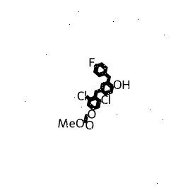 COC(=O)COc1cc(Cl)c(Cc2ccc(O)c(Cc3ccc(F)cc3)c2)c(Cl)c1